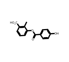 Cc1c(OC(=O)c2ccc(O)cc2)cccc1C(=O)O